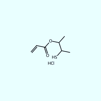 C=CC(=O)OC(C)C(C)S.Cl